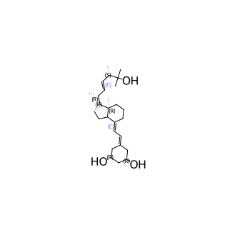 C[C@H](/C=C/[C@H](C)C(C)(C)O)[C@H]1CCC2/C(=C/C=C3C[C@@H](O)C[C@H](O)C3)CCC[C@@]21C